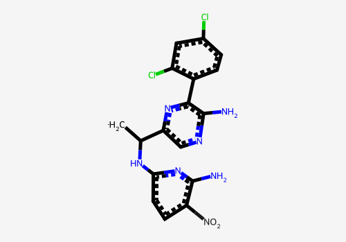 [CH2]C(Nc1ccc([N+](=O)[O-])c(N)n1)c1cnc(N)c(-c2ccc(Cl)cc2Cl)n1